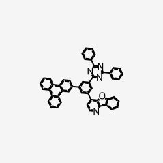 c1ccc(-c2nc(-c3ccccc3)nc(-c3cc(-c4ccc5c6ccccc6c6ccccc6c5c4)cc(-c4ccnc5c4oc4ccccc45)c3)n2)cc1